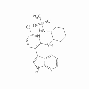 CS(=O)(=O)N[C@@H]1CCCC[C@@H]1Nc1nc(Cl)ccc1-c1c[nH]c2ncccc12